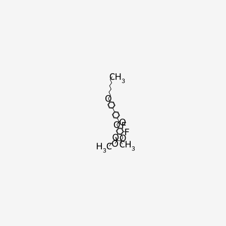 CCCCCCCOc1ccc(-c2ccc(C(=O)Oc3ccc(OC(C)C(=O)OCC)c(F)c3F)cc2)cc1